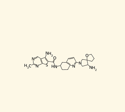 Cc1ncc2c(N)c(C(=O)NC3CCc4nc(N5CC(N)C6(CCCO6)C5)ccc4C3)sc2n1